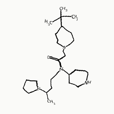 CC(CCN(C(=O)CN1CCC(C(C)(C)C)CC1)C1CCNCC1)N1CCCC1